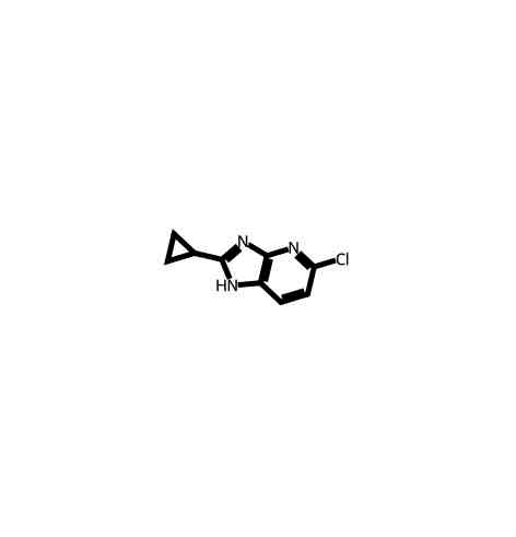 Clc1ccc2[nH]c(C3CC3)nc2n1